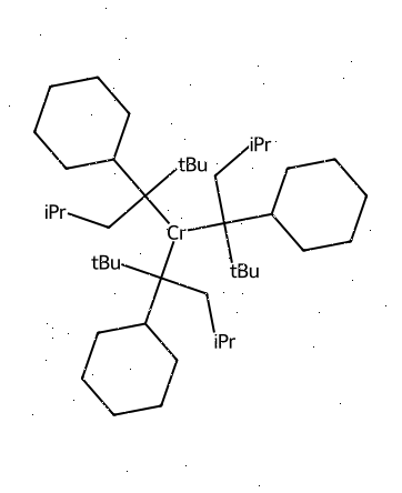 CC(C)C[C](C1CCCCC1)([Cr]([C](CC(C)C)(C1CCCCC1)C(C)(C)C)[C](CC(C)C)(C1CCCCC1)C(C)(C)C)C(C)(C)C